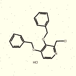 Cl.ClCc1nccc(OCc2ccccc2)c1OCc1ccccc1